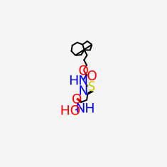 O=C(Cc1csc(NC(=O)OCCCC23CC4CCCC2CC4C3)n1)NO